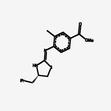 COC(=O)c1ccc(/N=C2/N[C@@H](CC(C)C)CS2)c(C)c1